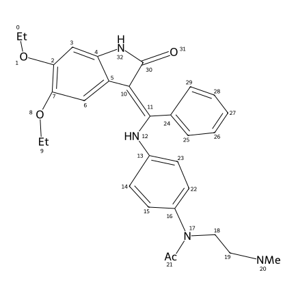 CCOc1cc2c(cc1OCC)C(=C(Nc1ccc(N(CCNC)C(C)=O)cc1)c1ccccc1)C(=O)N2